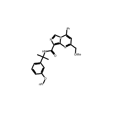 CCCOc1cccc(C(C)(C)NC(=O)c2ncn3c(C(C)C)cc(COC)nc23)c1